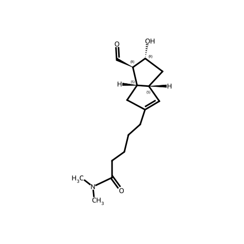 CN(C)C(=O)CCCCC1=C[C@H]2C[C@@H](O)[C@H](C=O)[C@H]2C1